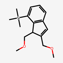 COCC1=Cc2cccc([Si](C)(C)C)c2C1COC